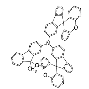 CC1(C)c2ccccc2-c2ccc(N(c3ccc4c(c3)C3(c5ccccc5Oc5ccccc53)c3ccccc3-4)c3ccc4c(c3)C3(c5ccccc5Oc5ccccc53)c3ccccc3-4)cc21